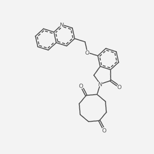 O=C1CCCC(=O)C(N2Cc3c(OCc4cnc5ccccc5c4)cccc3C2=O)CC1